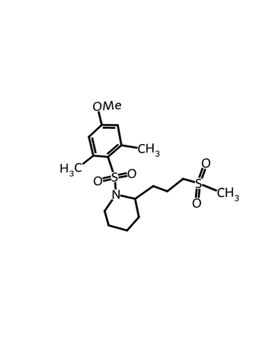 COc1cc(C)c(S(=O)(=O)N2CCCCC2CCCS(C)(=O)=O)c(C)c1